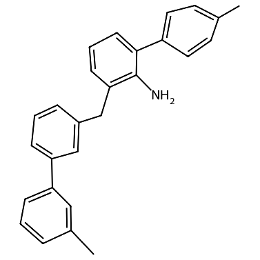 Cc1ccc(-c2cccc(Cc3cccc(-c4cccc(C)c4)c3)c2N)cc1